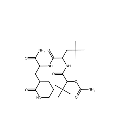 CC(C)(C)CC(NC(=O)C(OC(N)=O)C(C)(C)C)C(=O)NC(CC1CCCNC1=O)C(N)=O